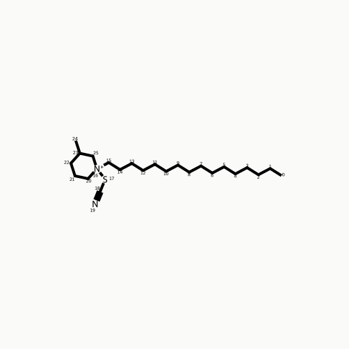 CCCCCCCCCCCCCCCC[N+]1(SC#N)CCCC(C)C1